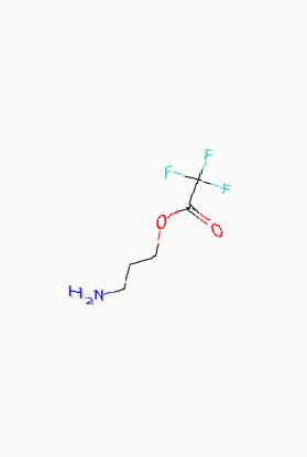 NCCCOC(=O)C(F)(F)F